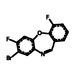 Fc1cc2c(cc1Br)N=Cc1cccc(F)c1O2